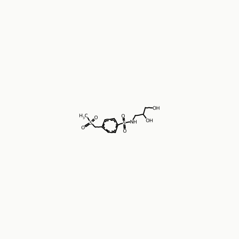 CS(=O)(=O)Cc1ccc(S(=O)(=O)NCC(O)CO)cc1